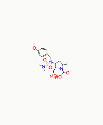 COc1ccc(CN([C@H]2C[C@@H](C)N(C(=O)O)[C@H]2CO)S(=O)(=O)N(C)C)cc1